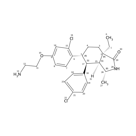 CC[C@@]12CC[C@@H](c3ccc(OCCN)cc3Cl)[C@H](c3ccc(Cl)cc3)[C@@H]1[C@@H](C)NC2=O